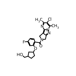 Cc1nc2c3c(nn2c(C)c1Cl)CN(C(=O)c1ccc(F)cc1OC1CCC(CO)C1)C3